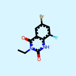 CCn1c(=O)[nH]c2c(F)cc(Br)cc2c1=O